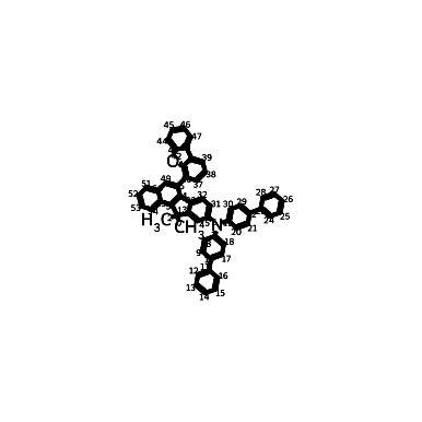 CC1(C)c2cc(N(c3ccc(-c4ccccc4)cc3)c3ccc(-c4ccccc4)cc3)ccc2-c2c(-c3cccc4c3oc3ccccc34)cc3ccccc3c21